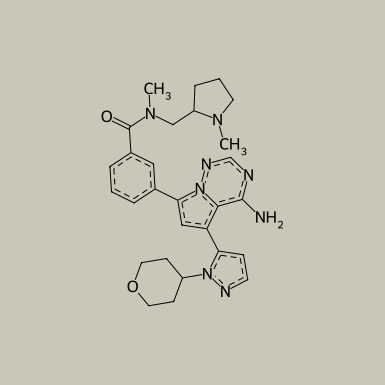 CN(CC1CCCN1C)C(=O)c1cccc(-c2cc(-c3ccnn3C3CCOCC3)c3c(N)ncnn23)c1